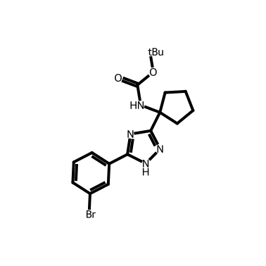 CC(C)(C)OC(=O)NC1(c2n[nH]c(-c3cccc(Br)c3)n2)CCCC1